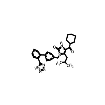 CC(C)Cc1c(C(=O)C2CCCCC2)[nH]c(=O)n1Cc1ccc(-c2ccccc2-c2nnn[nH]2)cc1